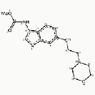 COC(=O)Nn1cnc2cc(SCCN3CCOCC3)ccc21